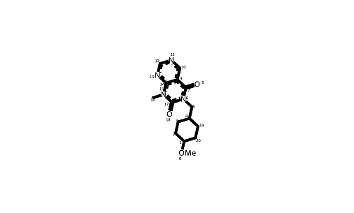 COC1CCC(Cn2c(=O)c3cncnc3n(C)c2=O)CC1